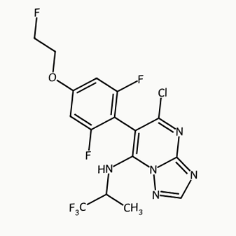 CC(Nc1c(-c2c(F)cc(OCCF)cc2F)c(Cl)nc2ncnn12)C(F)(F)F